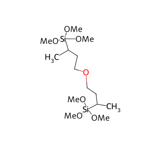 CO[Si](OC)(OC)C(C)CCOCCC(C)[Si](OC)(OC)OC